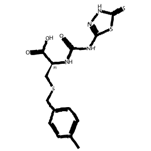 Cc1ccc(CSC[C@H](NC(=O)Nc2n[nH]c(=S)s2)C(=O)O)cc1